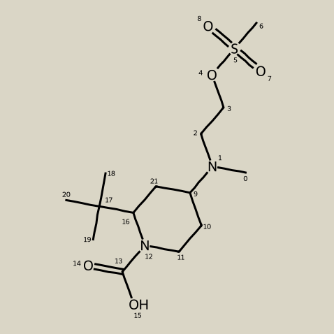 CN(CCOS(C)(=O)=O)C1CCN(C(=O)O)C(C(C)(C)C)C1